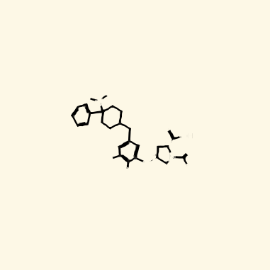 CN(C)C1(c2ccccc2)CCC(Cc2cc(F)c(F)c(O[C@H]3C[C@@H](C(=O)O)N(C(=O)O)C3)c2)CC1